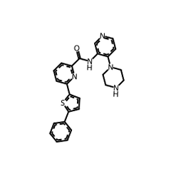 O=C(Nc1cnccc1N1CCNCC1)c1cccc(-c2ccc(-c3ccccc3)s2)n1